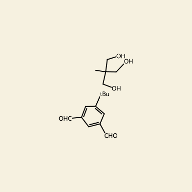 CC(C)(C)c1cc(C=O)cc(C=O)c1.CC(CO)(CO)CO